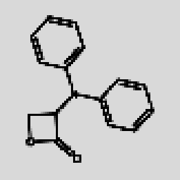 O=C1OCC1N(c1ccccc1)c1ccccc1